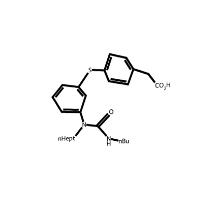 CCCCCCCN(C(=O)NCCCC)c1cccc(Sc2ccc(CC(=O)O)cc2)c1